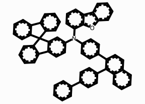 c1ccc(-c2ccc(-c3c(-c4ccc(N(c5ccc6c(c5)C5(c7ccccc7-c7ccccc75)c5ccccc5-6)c5cccc6c5oc5ccccc56)cc4)ccc4ccccc34)cc2)cc1